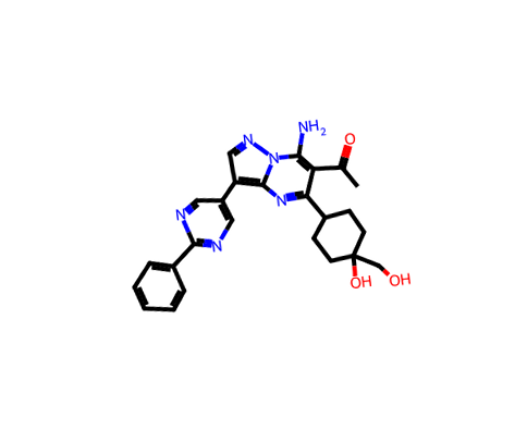 CC(=O)c1c(C2CCC(O)(CO)CC2)nc2c(-c3cnc(-c4ccccc4)nc3)cnn2c1N